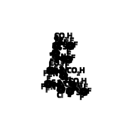 Cc1c(-c2nc3c(F)c(F)cc(F)c3s2)c2cc(Cl)ccc2n1CC(=O)O.Cc1c(-c2nc3c(F)c(F)cc(F)c3s2)c2ccc(Cl)cc2n1CC(=O)O.Cc1ccc2c(c1)c(-c1nc3c(F)c(F)cc(F)c3s1)c(C)n2CC(=O)O.Cc1cccc2c(-c3nc4c(F)c(F)cc(F)c4s3)c(C)n(CC(=O)O)c12.Cc1cccc2c1c(-c1nc3c(F)c(F)cc(F)c3s1)c(C)n2CC(=O)O